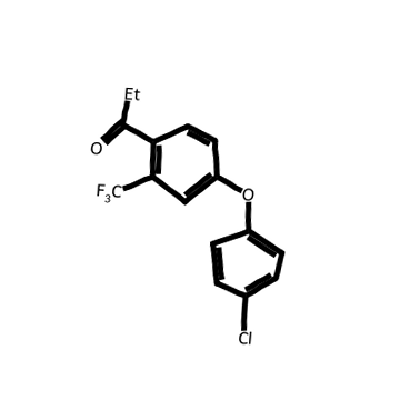 CCC(=O)c1ccc(Oc2ccc(Cl)cc2)cc1C(F)(F)F